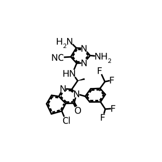 C[C@H](Nc1nc(N)nc(N)c1C#N)c1nc2cccc(Cl)c2c(=O)n1-c1cc(C(F)F)cc(C(F)F)c1